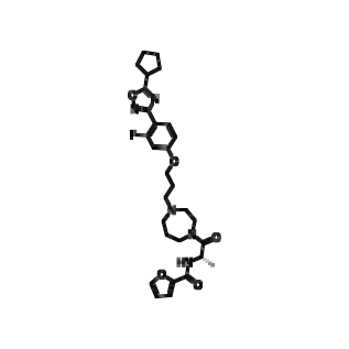 C[C@H](NC(=O)c1ccco1)C(=O)N1CCCN(CCCOc2ccc(-c3noc(C4CCCC4)n3)c(F)c2)CC1